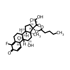 CCCCC(=O)O[C@]1(C(=O)CO)[C@@H](C)C[C@H]2[C@@H]3CCC4=C(F)C(=O)C=C[C@]4(C)[C@H]3[C@@H](O)C[C@@]21C